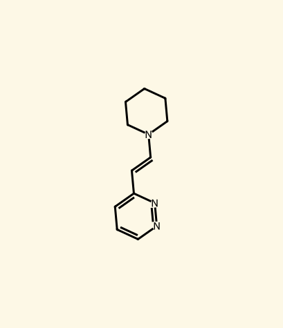 C(=C\N1CCCCC1)/c1cccnn1